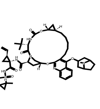 C=C[C@@H]1C[C@]1(NC(=O)[C@@H]1C[C@@H]2CN1C(=O)[C@H](C(C)(C)C)NC(=O)O[C@@H]1C[C@H]1CCCCCc1c(nc3ccccc3c1OC1CC3CCC(C1)N3C)O2)C(=O)N[SH](=O)(I)C1(C)CC1